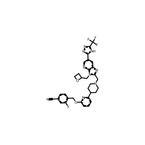 N#Cc1ccc(COc2cccc(C3CCN(Cc4nc5cc(-c6nnc(C(F)(F)F)[nH]6)cnc5n4CC4CCO4)CC3)n2)c(F)c1